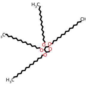 CCCCCCCCCCCCCCCCOC1OC[C@@H](OCCCCCCCCCCCCCCCC)[C@H](OCCCCCCCCCCCCCCCC)[C@H]1OCCCCCCCCCCCCCCCC